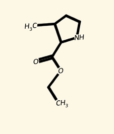 CCOC(=O)C1NCCC1C